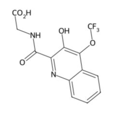 O=C(O)CNC(=O)c1nc2ccccc2c(OC(F)(F)F)c1O